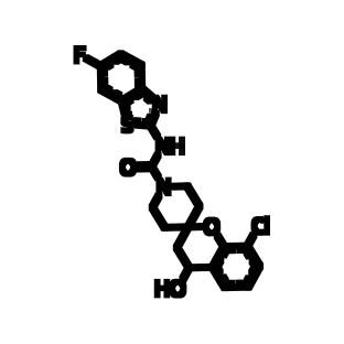 O=C(Nc1nc2ccc(F)cc2s1)N1CCC2(CC1)CC(O)c1cccc(Cl)c1O2